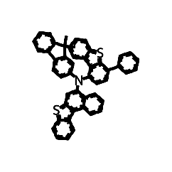 CC1(C)c2ccccc2-c2ccc(N(c3cc4sc5ccccc5c4c4ccccc34)c3ccc(-c4ccccc4)c4sc5ccccc5c34)cc21